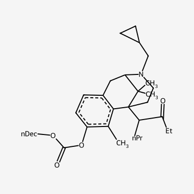 CCCCCCCCCCOC(=O)Oc1ccc2c(c1C)C1(C(CCC)C(=O)CC)CCN(CC3CC3)C(C2)C1(C)C